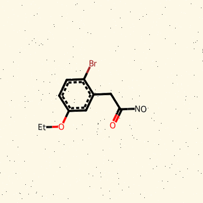 CCOc1ccc(Br)c(CC(=O)N=O)c1